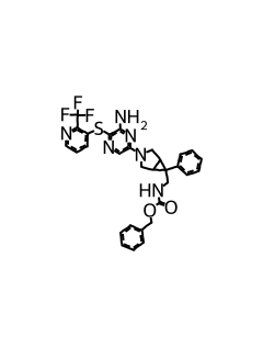 Nc1nc(N2CC3C(C2)C3(CNC(=O)OCc2ccccc2)c2ccccc2)cnc1Sc1cccnc1C(F)(F)F